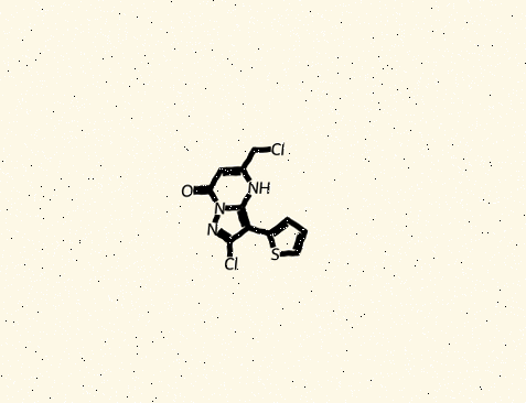 O=c1cc(CCl)[nH]c2c(-c3cccs3)c(Cl)nn12